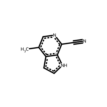 Cc1cnc(C#N)c2[nH]ccc12